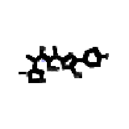 CC/C(=C(/NC)N(C)c1nc(-c2ccc(F)cc2)c(C#N)s1)N(C)C1=CNC[C@@H]1C